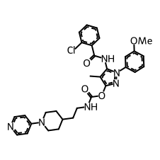 COc1cccc(-n2nc(OC(=O)NCCC3CCN(c4ccncc4)CC3)c(C)c2NC(=O)c2ccccc2Cl)c1